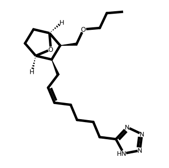 CCCOC[C@H]1[C@@H](C/C=C\CCCCc2nnn[nH]2)[C@H]2CC[C@@H]1O2